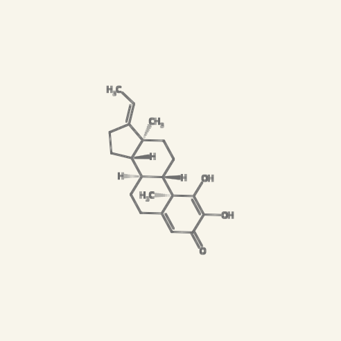 CC=C1CC[C@H]2[C@@H]3CCC4=CC(=O)C(O)=C(O)[C@]4(C)[C@H]3CC[C@]12C